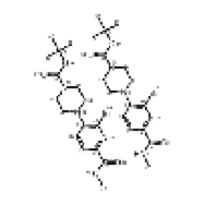 CNC(=O)c1ccc(N2CCN(C(=O)OC(C)(C)C)CC2)c(Br)n1.COC(=O)c1ccc(N2CCN(C(=O)OC(C)(C)C)CC2)c(Br)n1